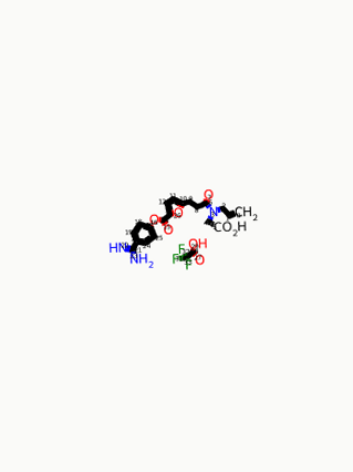 C=CCN(CC(=O)O)C(=O)CCc1ccc(C(=O)Oc2ccc(C(=N)N)cc2)o1.O=C(O)C(F)(F)F